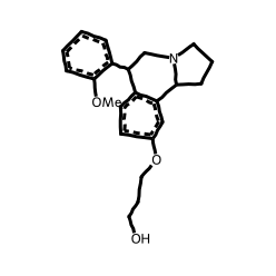 COc1ccccc1C1CN2CCCC2c2cc(OCCCO)ccc21